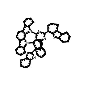 c1ccc(-c2nc(-c3cccc4c3sc3ccccc34)nc(-n3c4ccccc4c4ccc5c6ccccc6n(-c6ccccc6-c6nc7ccccc7o6)c5c43)n2)cc1